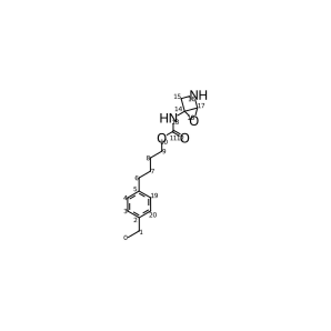 CCc1ccc(CCCCOC(=O)NC23CNC2O3)cc1